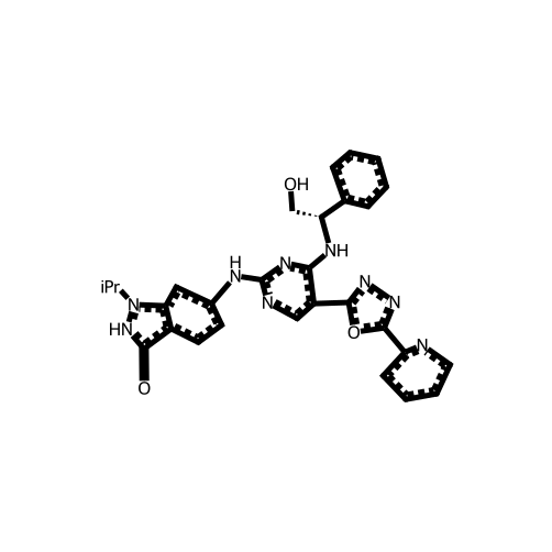 CC(C)n1[nH]c(=O)c2ccc(Nc3ncc(-c4nnc(-c5ccccn5)o4)c(N[C@H](CO)c4ccccc4)n3)cc21